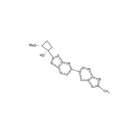 CO[C@@H]1CC[C@@]1(O)c1cc2ccc(-c3cnc4nn(C)cc4c3)nc2s1